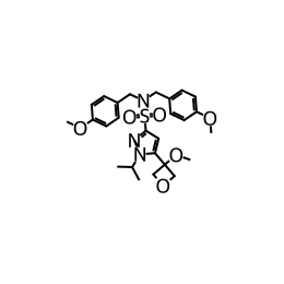 COc1ccc(CN(Cc2ccc(OC)cc2)S(=O)(=O)c2cc(C3(OC)COC3)n(C(C)C)n2)cc1